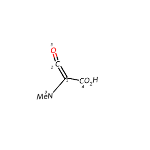 CNC(=C=O)C(=O)O